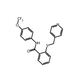 O=C(Nc1ccc(OC(F)(F)F)cc1)c1ccccc1SCc1ccncc1